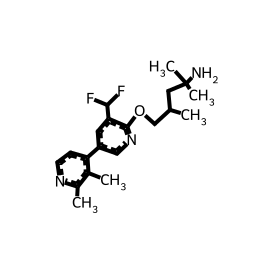 Cc1nccc(-c2cnc(OCC(C)CC(C)(C)N)c(C(F)F)c2)c1C